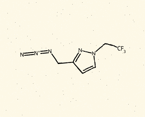 [N-]=[N+]=NCc1ccn(CC(F)(F)F)n1